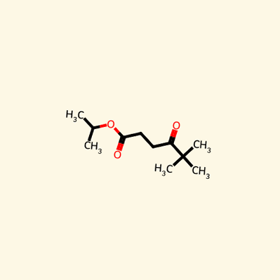 CC(C)OC(=O)CCC(=O)C(C)(C)C